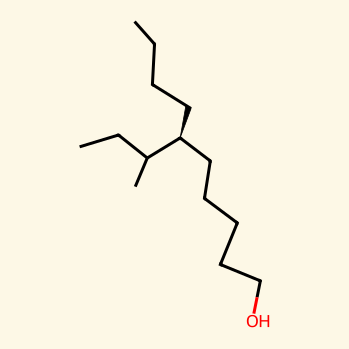 CCCC[C@@H](CCCCCO)C(C)CC